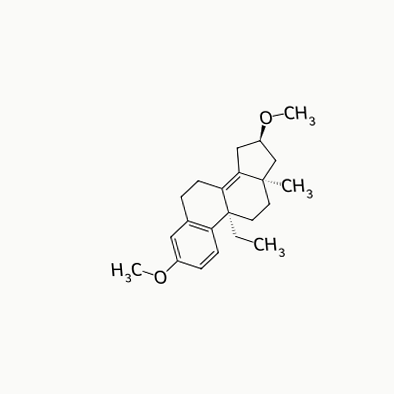 CC[C@@]12CC[C@]3(C)C[C@H](OC)CC3=C1CCc1cc(OC)ccc12